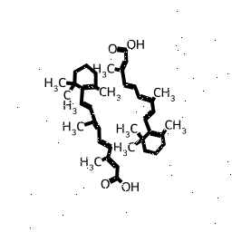 CC(C=CC1=C(C)CCCC1(C)C)=CC=CC(C)=CC(=O)O.CC1=C(/C=C/C(C)=C/C=C/C(C)=C/C(=O)O)C(C)(C)CCC1